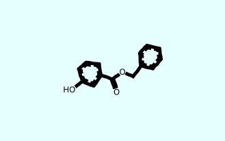 O=C(OCc1ccccc1)c1cccc(O)c1